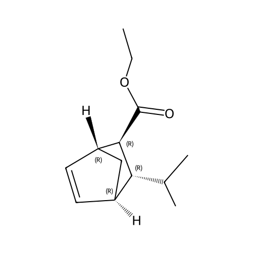 CCOC(=O)[C@H]1[C@H](C(C)C)[C@H]2C=C[C@H]1C2